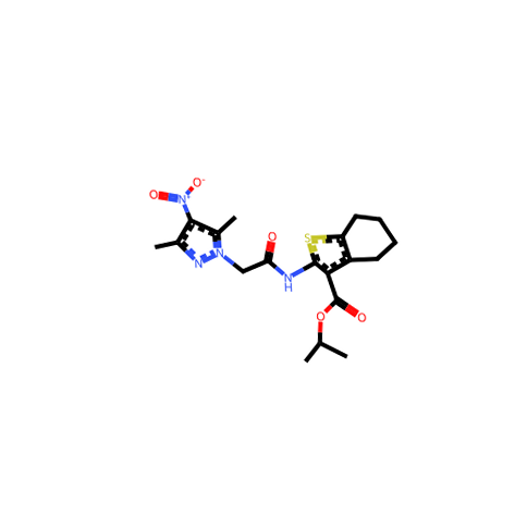 Cc1nn(CC(=O)Nc2sc3c(c2C(=O)OC(C)C)CCCC3)c(C)c1[N+](=O)[O-]